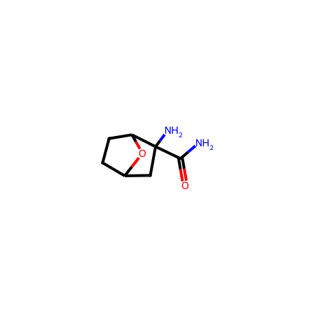 NC(=O)C1(N)CC2CCC1O2